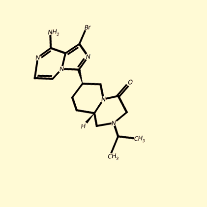 CC(C)N1CC(=O)N2C[C@H](c3nc(Br)c4c(N)nccn34)CC[C@H]2C1